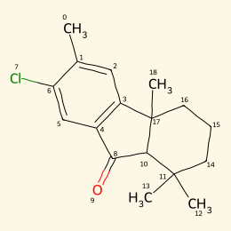 Cc1cc2c(cc1Cl)C(=O)C1C(C)(C)CCCC21C